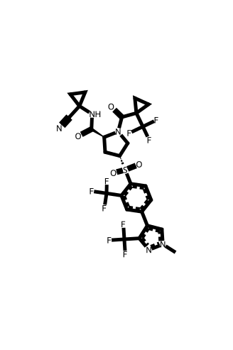 Cn1cc(-c2ccc(S(=O)(=O)[C@@H]3C[C@@H](C(=O)NC4(C#N)CC4)N(C(=O)C4(C(F)(F)F)CC4)C3)c(C(F)(F)F)c2)c(C(F)(F)F)n1